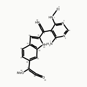 CCNc1ncnc(N)c1C(=N)c1cc2ccc(C(=C=O)OC)cc2[nH]1